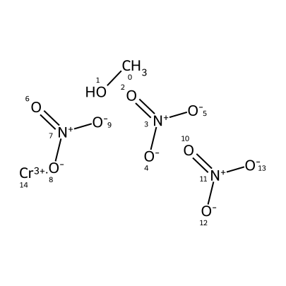 CO.O=[N+]([O-])[O-].O=[N+]([O-])[O-].O=[N+]([O-])[O-].[Cr+3]